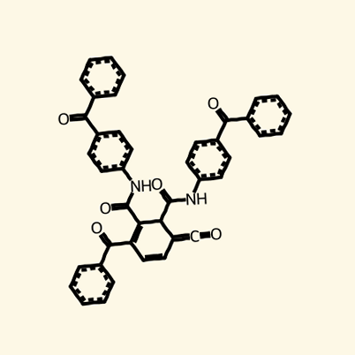 O=C=C1C=CC(C(=O)c2ccccc2)=C(C(=O)Nc2ccc(C(=O)c3ccccc3)cc2)C1C(=O)Nc1ccc(C(=O)c2ccccc2)cc1